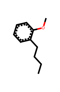 CCCCc1[c]cccc1OC